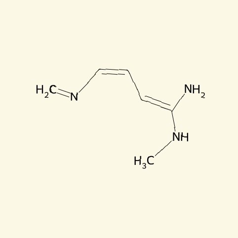 C=N/C=C\C=C(/N)NC